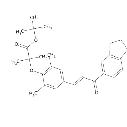 Cc1cc(/C=C/C(=O)c2ccc3c(c2)CCS3)cc(C)c1OC(C)(C)C(=O)OC(C)(C)C